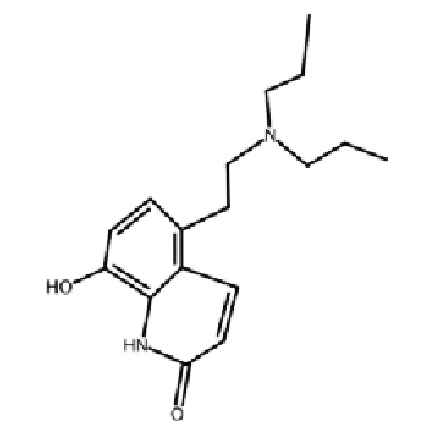 CCCN(CCC)CCc1ccc(O)c2[nH]c(=O)ccc12